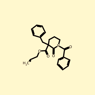 C=CCOC(=O)C1(Cc2ccccc2)CCCN(C(=O)c2ccccc2)C1=O